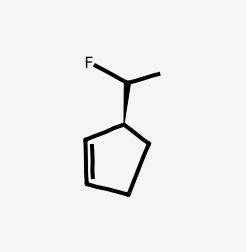 CC(F)[C@@H]1C=CCC1